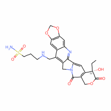 CC[C@@]1(O)C(=O)OCc2c1cc1n(c2=O)Cc2c-1nc1cc3c(cc1c2CNCCCS(N)(=O)=O)OCO3